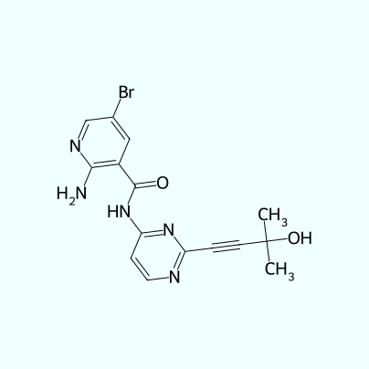 CC(C)(O)C#Cc1nccc(NC(=O)c2cc(Br)cnc2N)n1